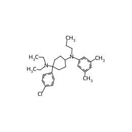 CCCN(c1cc(C)cc(C)c1)C1CCC(c2ccc(Cl)cc2)(N(CC)CC)CC1